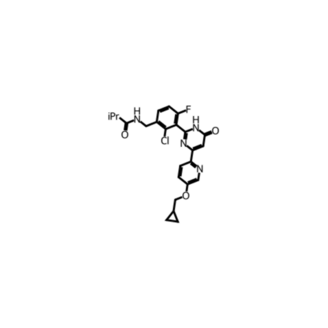 CC(C)C(=O)NCc1ccc(F)c(-c2nc(-c3ccc(OCC4CC4)cn3)cc(=O)[nH]2)c1Cl